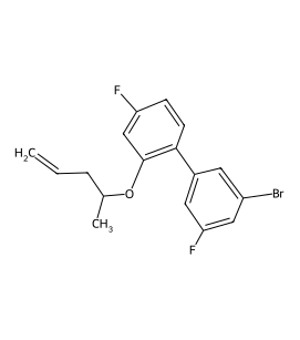 C=CCC(C)Oc1cc(F)ccc1-c1cc(F)cc(Br)c1